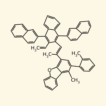 C=Cc1c(/C=C(\C)c2cc(-c3ccccc3C)c(C)c3c2oc2ccccc23)c(-c2ccc3ccccc3c2)c2ccccc2c1-c1ccc2ccccc2c1